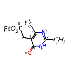 CCOC(=O)Cc1c(C(F)(F)F)nc(C)[nH]c1=O